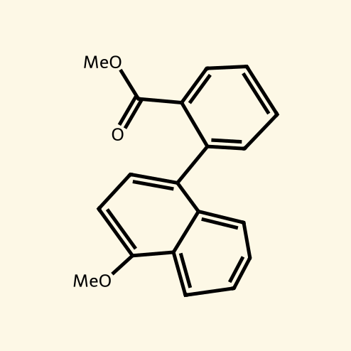 COC(=O)c1ccccc1-c1ccc(OC)c2ccccc12